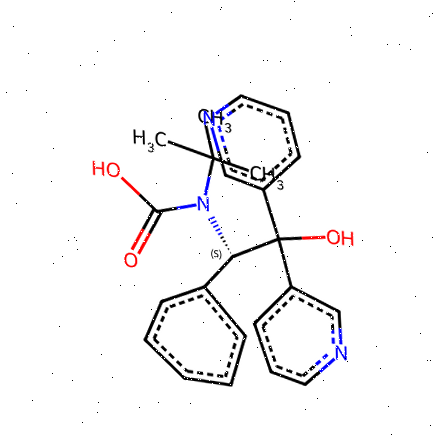 CC(C)(C)N(C(=O)O)[C@@H](c1ccccc1)C(O)(c1cccnc1)c1cccnc1